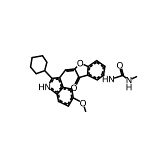 CNC(=O)Nc1ccc2c(c1)C(=O)C(=Cc1c(C3CCCCC3)[nH]c3ccc(OC)cc13)O2